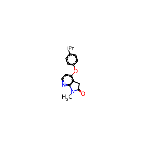 CC(C)c1ccc(Oc2ccnc3c2CC(=O)N3C)cc1